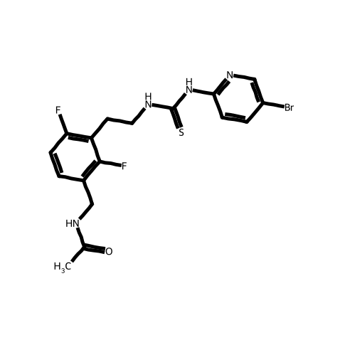 CC(=O)NCc1ccc(F)c(CCNC(=S)Nc2ccc(Br)cn2)c1F